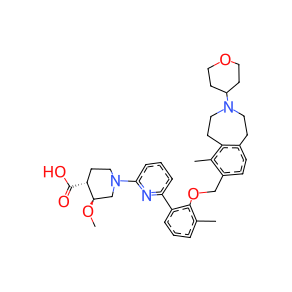 CO[C@@H]1CN(c2cccc(-c3cccc(C)c3OCc3ccc4c(c3C)CCN(C3CCOCC3)CC4)n2)CC[C@H]1C(=O)O